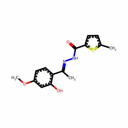 COc1ccc(C(C)=NNC(=O)c2ccc(C)s2)c(O)c1